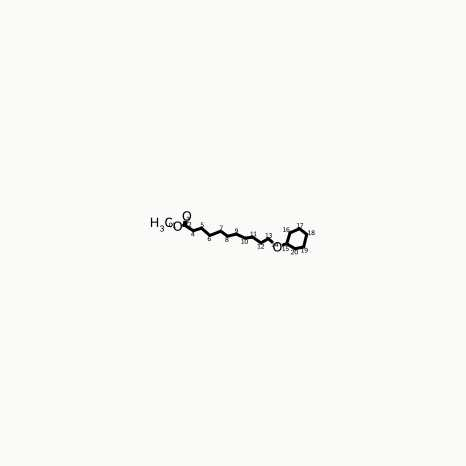 COC(=O)CCCCCCCCCCOC1CCCCC1